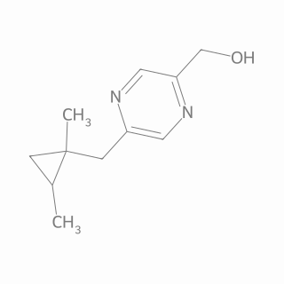 CC1CC1(C)Cc1cnc(CO)cn1